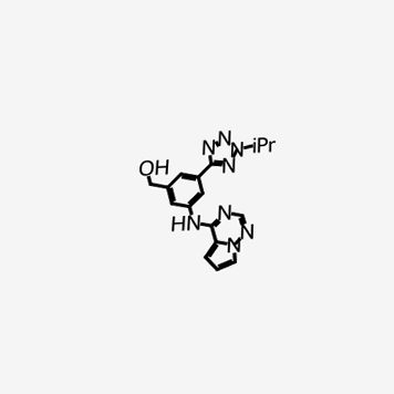 CC(C)n1nnc(-c2cc(CO)cc(Nc3ncnn4cccc34)c2)n1